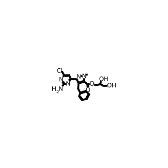 Cn1nc(-c2cc(Cl)nc(N)n2)c(Cc2ccccc2)c1C(=O)OCC(O)CO